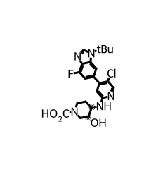 CC(C)(C)n1cnc2c(F)cc(-c3cc(N[C@@H]4CCN(C(=O)O)C[C@H]4O)ncc3Cl)cc21